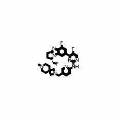 CN1CCC2(CC1)CN(Cc1ccc(Nc3ncc(F)c(-c4cc(F)c5nc6n(c5c4)[C@H](CF)CC6)n3)nc1)C2